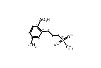 Cc1ccc(S(=O)(=O)O)c(CCCS(C)(=O)=O)c1